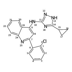 Clc1ccccc1-c1cc(Nc2n[nH]c(C3CC3)n2)c2ccccc2n1